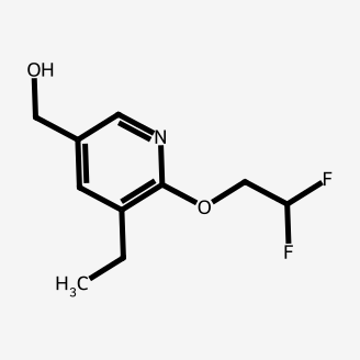 CCc1cc(CO)cnc1OCC(F)F